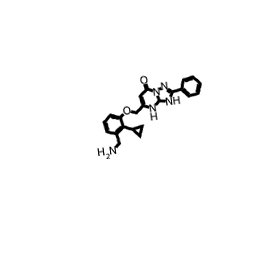 NCc1cccc(OCC2=CC(=O)N3N=C(c4ccccc4)NC3N2)c1C1CC1